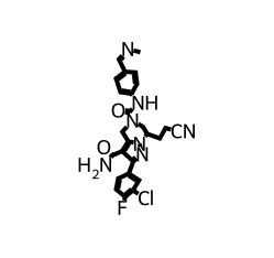 C/N=C\c1ccc(NC(=O)N2Cc3c(C(N)=O)c(-c4ccc(F)c(Cl)c4)nn3C(CCC#N)C2)cc1